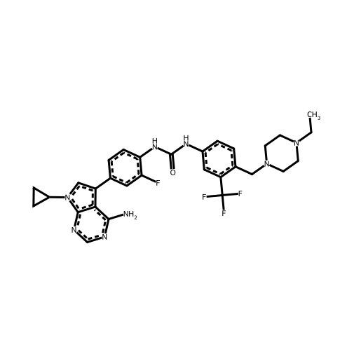 CCN1CCN(Cc2ccc(NC(=O)Nc3ccc(-c4cn(C5CC5)c5ncnc(N)c45)cc3F)cc2C(F)(F)F)CC1